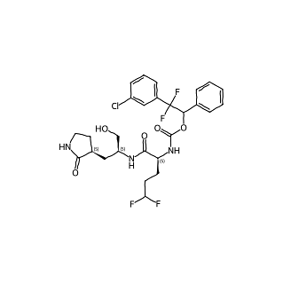 O=C(N[C@@H](CCC(F)F)C(=O)N[C@H](CO)C[C@@H]1CCNC1=O)OC(c1ccccc1)C(F)(F)c1cccc(Cl)c1